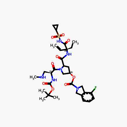 C=C[C@@](CC)(NC(=O)C1C[C@@H](OC(=O)N2Cc3cccc(F)c3C2)CN1C(=O)[C@H](CNC)NC(=O)OC(C)(C)C)C(=O)NS(=O)(=O)C1CC1